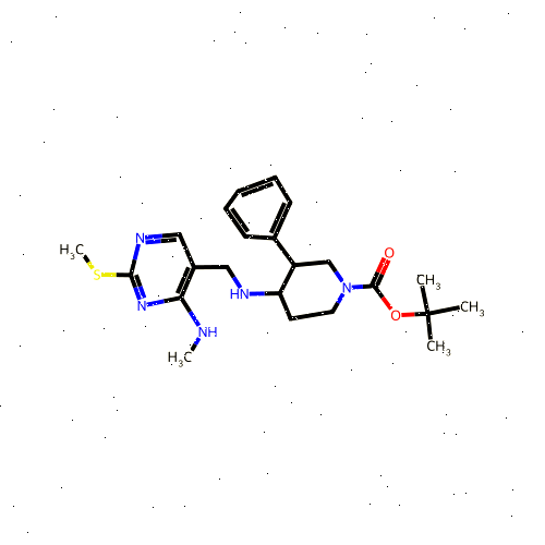 CNc1nc(SC)ncc1CNC1CCN(C(=O)OC(C)(C)C)CC1c1ccccc1